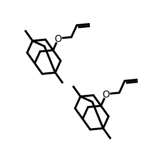 C=CCOC12CC3CC(C)(CC(C)(C3)C1)C2.C=CCOC12CC3CC(C)(CC(C)(C3)C1)C2